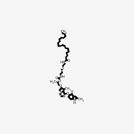 CC/C=C\C/C=C\C/C=C\C/C=C\C/C=C\CCCC(=O)NCCSSCCNC(=O)O[C@H](C)COc1cn2ncnc(Oc3ccc4[nH]c(C)cc4c3F)c2c1C